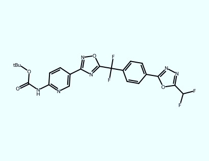 CC(C)(C)OC(=O)Nc1ccc(-c2noc(C(F)(F)c3ccc(-c4nnc(C(F)F)o4)cc3)n2)cn1